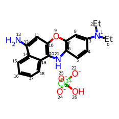 CCN(CC)c1ccc2c(c1)Oc1cc(N)c3ccccc3c1N2.[O-][Cl+3]([O-])([O-])O